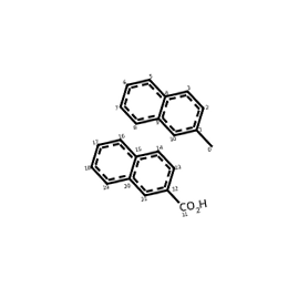 Cc1ccc2ccccc2c1.O=C(O)c1ccc2ccccc2c1